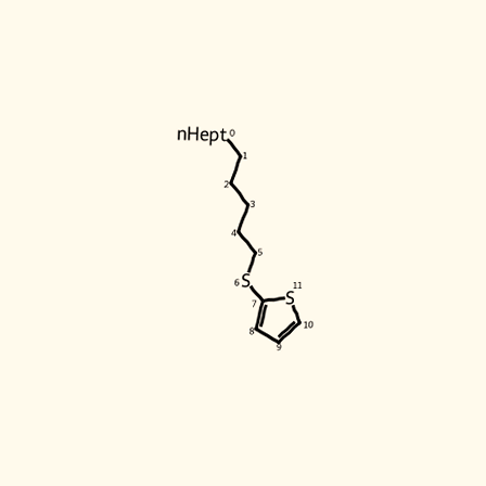 CCCCCCCCCCCCSc1cccs1